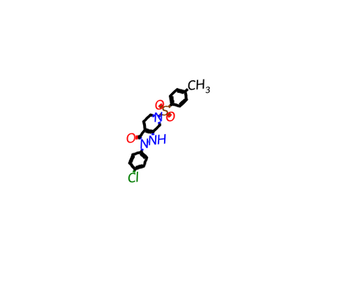 Cc1ccc(S(=O)(=O)N2CCc3c([nH]n(-c4ccc(Cl)cc4)c3=O)C2)cc1